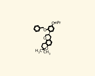 CCCOc1ccc([C@@H]2COc3c(ccc4c3CCC(C)(C)O4)C2)c(OCc2ccccc2)c1